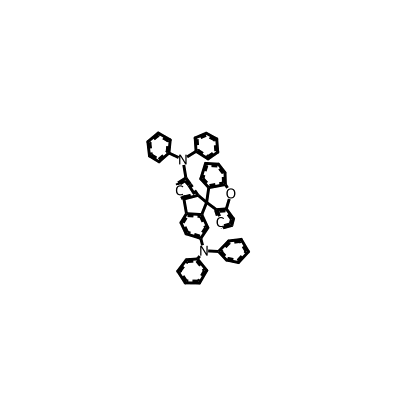 c1ccc(N(c2ccccc2)c2ccc3c(c2)C2(c4ccccc4Oc4ccccc42)c2cc(N(c4ccccc4)c4ccccc4)ccc2-3)cc1